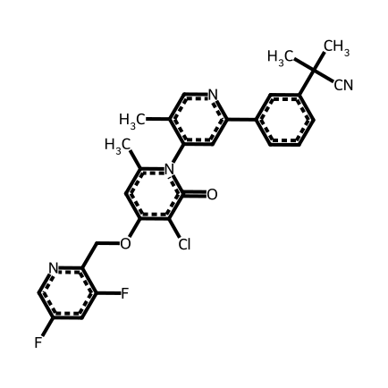 Cc1cnc(-c2cccc(C(C)(C)C#N)c2)cc1-n1c(C)cc(OCc2ncc(F)cc2F)c(Cl)c1=O